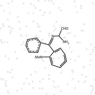 CNC1=CC=C=CC=C1/C(=N\C(N)C=O)c1ccccc1